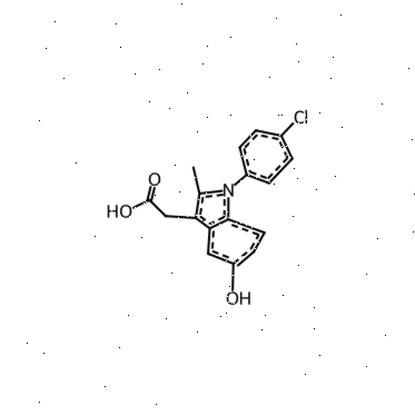 Cc1c(CC(=O)O)c2cc(O)ccc2n1-c1ccc(Cl)cc1